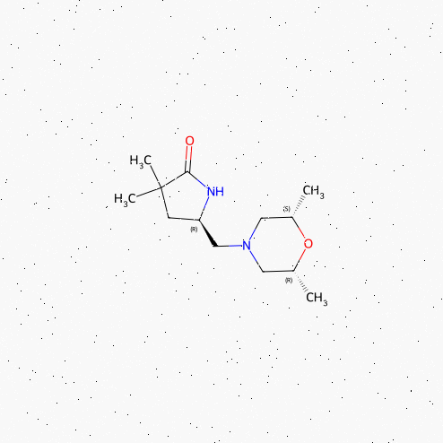 C[C@@H]1CN(C[C@H]2CC(C)(C)C(=O)N2)C[C@H](C)O1